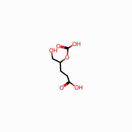 O=C(O)CCC(CO)OC(=O)O